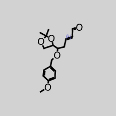 COc1ccc(COC(C/C=C/C=O)C2COC(C)(C)O2)cc1